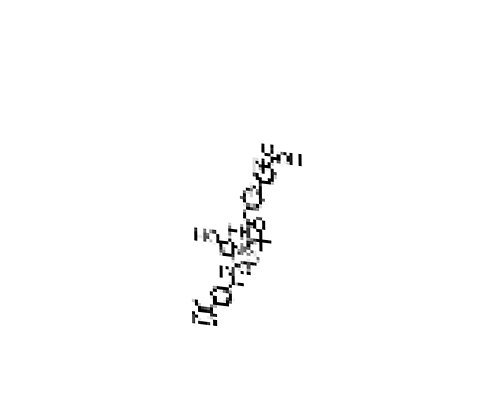 Cc1ncsc1-c1ccc([C@H](C)NC(=O)[C@@H]2C[C@@H](O)CN2C(=O)[C@@H](NC(=O)CC2CCN(c3ccc(C(=O)O)nc3)CC2)C(C)(C)C)cc1